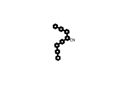 N#Cc1cc(-c2ccc(-c3cccc(-c4ccc(C5=CC=CCC5)cc4)c3)cc2)cc(-c2cccc(-c3ccc(-c4ccccc4)cc3)c2)c1